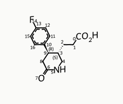 O=C(O)CC[C@@H]1CNC(=O)C[C@H]1c1ccc(F)cc1